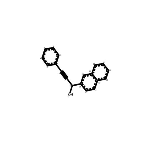 OC(C#Cc1ccccc1)c1ccc2ccccc2c1